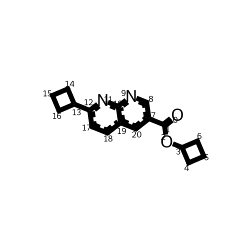 O=C(OC1CCC1)c1cnc2nc(C3CCC3)ccc2c1